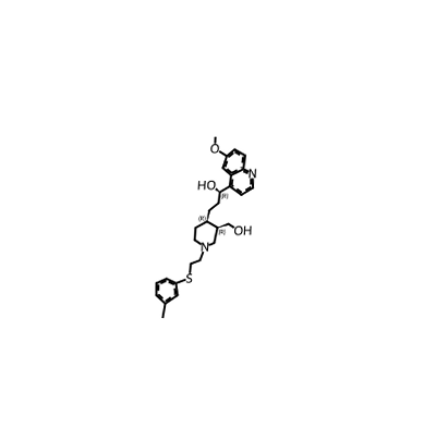 COc1ccc2nccc([C@H](O)CC[C@@H]3CCN(CCSc4cccc(C)c4)C[C@@H]3CO)c2c1